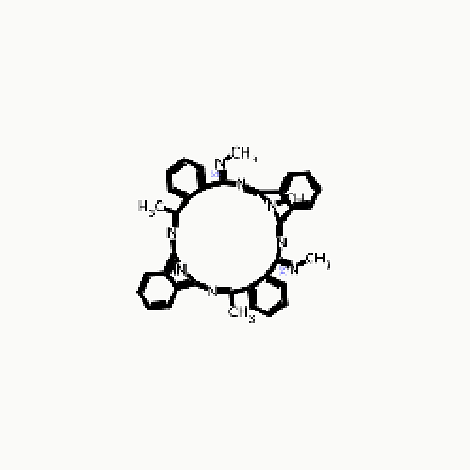 C/N=c1\nc2c3ccccc3c(n/c(=N\C)c3ccccc3c(C)nc3[nH]c(nc(C)c4ccccc14)c1ccccc31)n2C